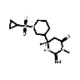 CN1C(=N)N[C@](C)(C2CCCN(S(=O)(=O)C3CC3)C2)CC1=O